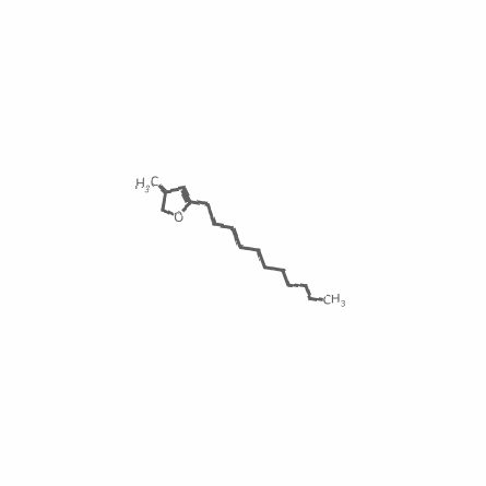 CCCCCCCCCCCC1=CC(C)CO1